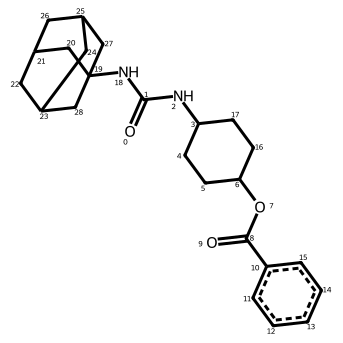 O=C(NC1CCC(OC(=O)c2ccccc2)CC1)NC12CC3CC(CC(C3)C1)C2